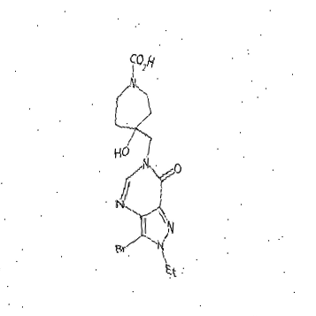 CCn1nc2c(=O)n(CC3(O)CCN(C(=O)O)CC3)cnc2c1Br